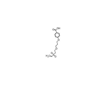 C=CS(=O)(=O)CCOCCCOc1ccc(C(=O)O)cc1